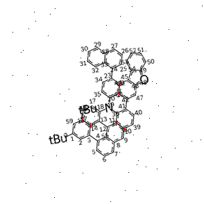 CC(C)(C)c1cc(-c2cccc3cccc(-c4ccccc4N(c4ccc(-c5cccc6ccccc56)cc4)c4ccccc4-c4ccc5c(c4)oc4ccccc45)c23)cc(C(C)(C)C)c1